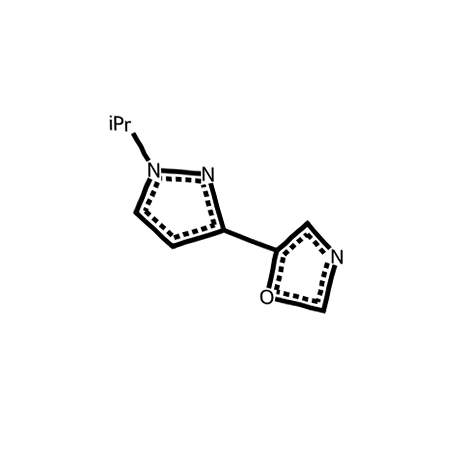 CC(C)n1ccc(-c2cnco2)n1